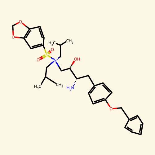 CC(C)C[N+](CC(C)C)(C[C@@H](O)[C@@H](N)Cc1ccc(OCc2ccccc2)cc1)S(=O)(=O)c1ccc2c(c1)OCO2